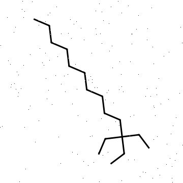 CCCCCCCCCCC(CC)(CC)CC